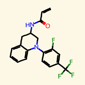 C=CC(=O)NC1Cc2ccccc2N(c2ccc(C(F)(F)F)cc2F)C1